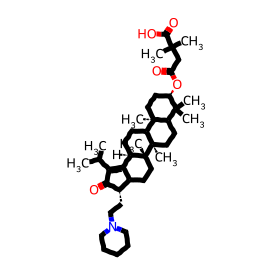 CC(C)C1=C2C(CC[C@]3(C)[C@@H]2CCC2[C@@]4(C)CC[C@H](OC(=O)CC(C)(C)C(=O)O)C(C)(C)C4CC[C@]23C)[C@H](CCN2CCCCC2)C1=O